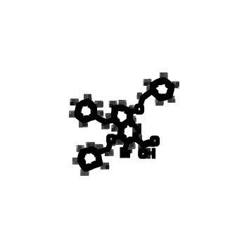 O=C(O)c1nc2c(OCc3ccccc3)ccc(Cc3ccccc3)c2c(OCc2ccccc2)c1Br